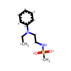 CCN(CCNS(C)(=O)=O)c1ccccc1